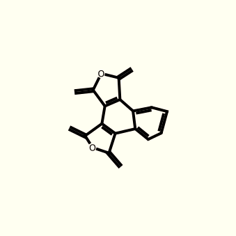 C=c1oc(=C)c2c1c1ccccc1c1c(=C)oc(=C)c12